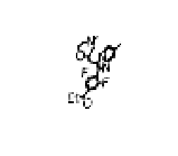 CCC(=O)c1cc(F)c(-c2nc3cc(C)ccn3c2CC2CN(C)CCO2)c(F)c1